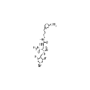 CC1CCN(CCCCNC(=O)Nc2snc(OCc3c(F)cc(Br)cc3F)c2C(N)=O)C1